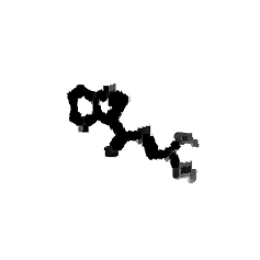 CN(C)C=NC(=O)c1cnn2cccnc12